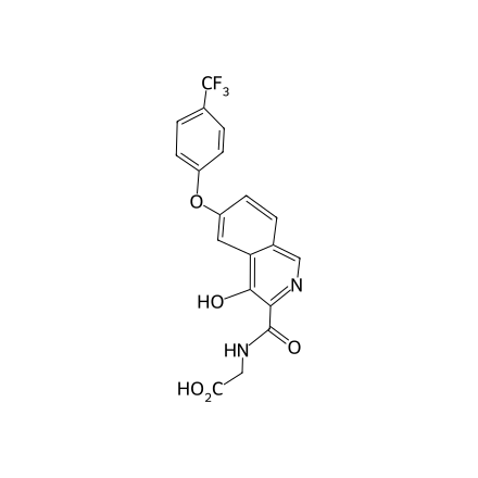 O=C(O)CNC(=O)c1ncc2ccc(Oc3ccc(C(F)(F)F)cc3)cc2c1O